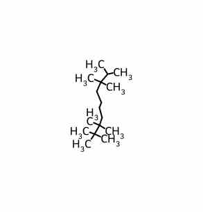 CC(C)C(C)(C)CCCCC(C)(C)C(C)(C)C